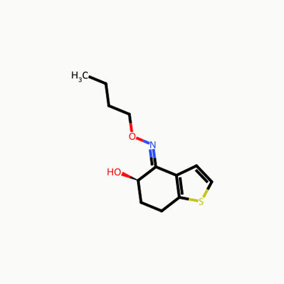 CCCCO/N=C1/c2ccsc2CC[C@H]1O